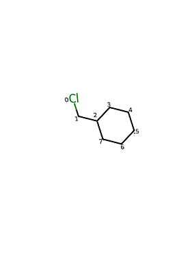 ClCC1CC[CH]CC1